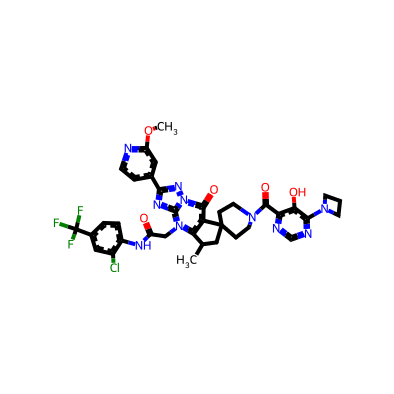 COc1cc(-c2nc3n(CC(=O)Nc4ccc(C(F)(F)F)cc4Cl)c4c(c(=O)n3n2)C2(CCN(C(=O)c3ncnc(N5CCC5)c3O)CC2)CC4C)ccn1